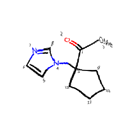 COC(=O)C1(n2ccnc2)CCCC1